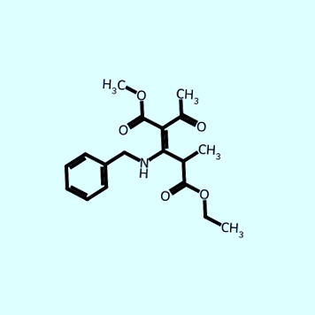 CCOC(=O)C(C)C(NCc1ccccc1)=C(C(C)=O)C(=O)OC